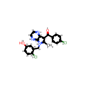 Cc1c(C(=O)c2ccc(Cl)cc2)c2nccnc2n1Cc1cc(O)ccc1Cl